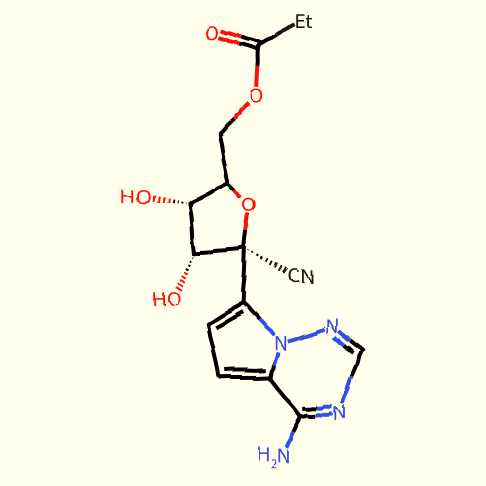 CCC(=O)OCC1O[C@@](C#N)(c2ccc3c(N)ncnn23)[C@H](O)[C@@H]1O